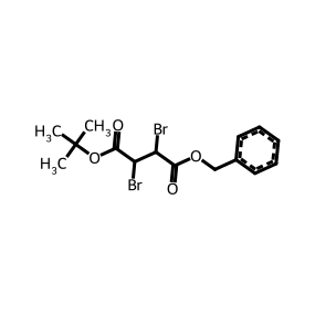 CC(C)(C)OC(=O)C(Br)C(Br)C(=O)OCc1ccccc1